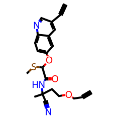 C#CCOCCC(C)(C#N)NC(=O)C(Oc1ccc2ncc(C#C)cc2c1)SC